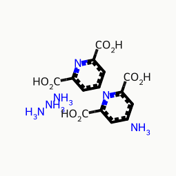 N.N.N.N.O=C(O)c1cccc(C(=O)O)n1.O=C(O)c1cccc(C(=O)O)n1